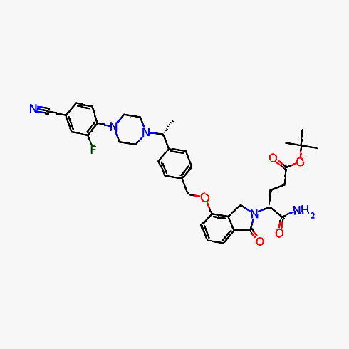 C[C@H](c1ccc(COc2cccc3c2CN([C@@H](CCC(=O)OC(C)(C)C)C(N)=O)C3=O)cc1)N1CCN(c2ccc(C#N)cc2F)CC1